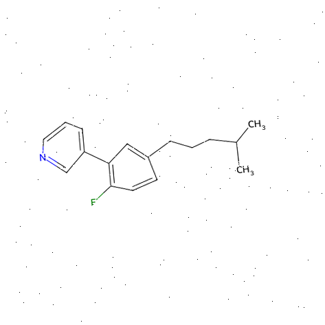 CC(C)CCCc1ccc(F)c(-c2cccnc2)c1